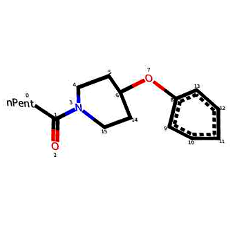 [CH2]CCCCC(=O)N1CCC(Oc2ccccc2)CC1